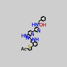 CC(=O)c1ccc(-c2cccc3[nH]c(-c4n[nH]c5ccc(-c6cncc(NC(O)Cc7ccccc7)c6)nc45)cc23)s1